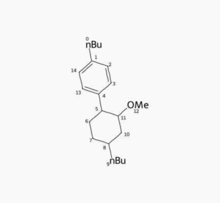 CCCCc1ccc(C2CCC(CCCC)CC2OC)cc1